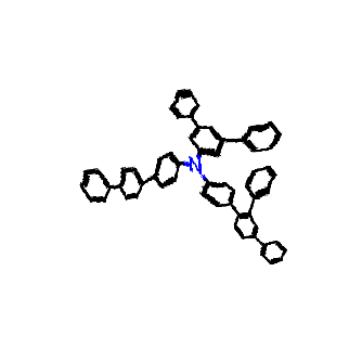 c1ccc(-c2ccc(-c3ccc(N(c4ccc(-c5ccc(-c6ccccc6)cc5-c5ccccc5)cc4)c4cc(-c5ccccc5)cc(-c5ccccc5)c4)cc3)cc2)cc1